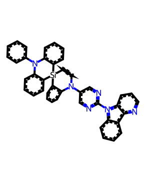 c1ccc(N2c3ccccc3[Si]3(c4ccccc42)c2ccccc2N(c2cnc(-n4c5ccccc5c5ncccc54)nc2)c2ccccc23)cc1